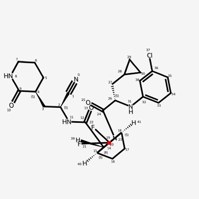 N#C[C@H](C[C@@H]1CCCNC1=O)NC(=O)[C@H]1[C@@H]2CC[C@@H](CC2(F)F)N1C(=O)[C@H](CC1CC1)Nc1cccc(Cl)c1